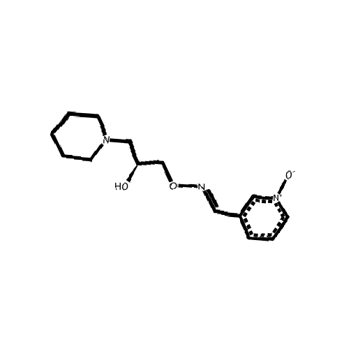 [O-][n+]1cccc(C=NOC[C@@H](O)CN2CCCCC2)c1